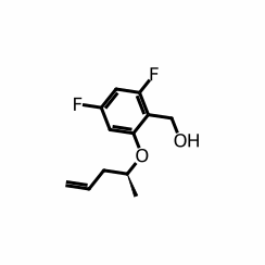 C=CC[C@H](C)Oc1cc(F)cc(F)c1CO